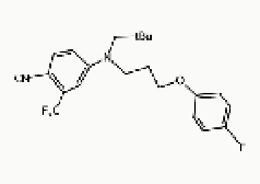 [C-]#[N+]c1ccc(N(CCCOc2ccc(F)cc2)CC(C)(C)C)cc1C(F)(F)F